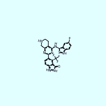 O=c1[nH][nH]c2ccc(-c3nc4c(c(Nc5n[nH]c6ccc(F)cc56)n3)CCNC4)c(C(F)(F)F)c12